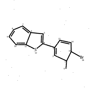 CC1C=C(c2cc3ccccc3s2)C=CC1Br